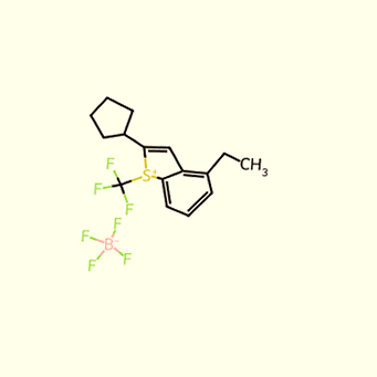 CCc1cccc2c1cc(C1CCCC1)[s+]2C(F)(F)F.F[B-](F)(F)F